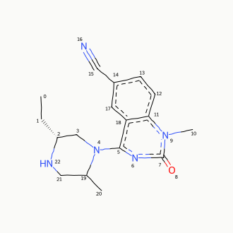 CC[C@@H]1CN(c2nc(=O)n(C)c3ccc(C#N)cc23)C(C)CN1